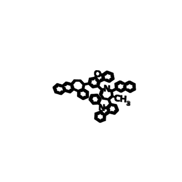 C[C@@H]1C(c2ccc3ccccc3c2)=NC(c2cc(C3CCc4cc5ccccc5cc4-c4ccccc43)cc3oc4ccccc4c23)=CCC1c1cccc2c3ccccc3n(-c3ccccc3)c12